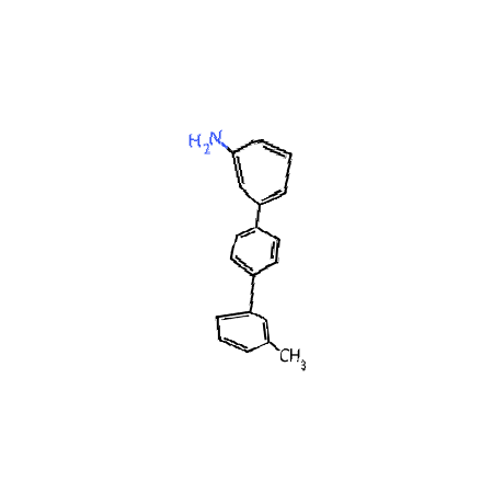 Cc1cccc(-c2ccc(-c3cccc(N)c3)cc2)c1